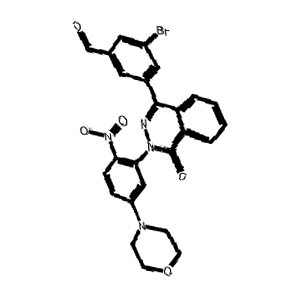 O=Cc1cc(Br)cc(-c2nn(-c3cc(N4CCOCC4)ccc3[N+](=O)[O-])c(=O)c3ccccc23)c1